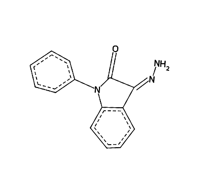 NN=C1C(=O)N(c2ccccc2)c2ccccc21